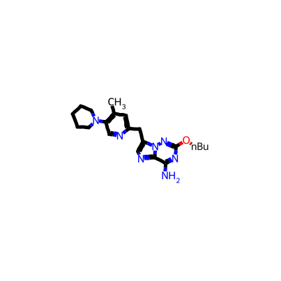 CCCCOc1nc(N)c2ncc(Cc3cc(C)c(N4CCCCC4)cn3)n2n1